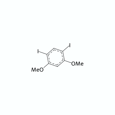 COc1cc(OC)c(I)cc1I